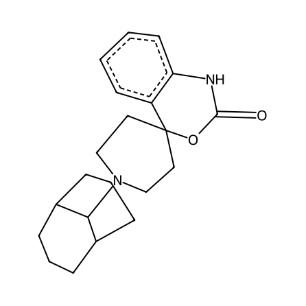 O=C1Nc2ccccc2C2(CCN(C3C4CCCC3CCC4)CC2)O1